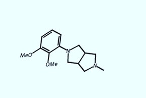 COc1cccc(N2CC3CN(C)CC3C2)c1OC